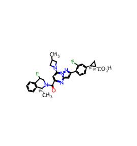 CC1CN(c2cc(C(=O)N3CC(F)c4ccccc4[C@H]3C)nc3cc(-c4ccc([C@H]5C[C@@H]5C(=O)O)cc4F)nn23)C1